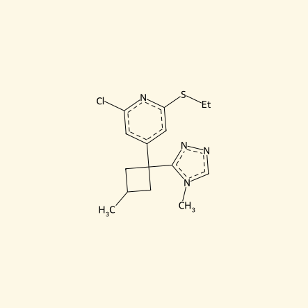 CCSc1cc(C2(c3nncn3C)CC(C)C2)cc(Cl)n1